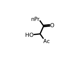 CCCC(=O)C(O)C(C)=O